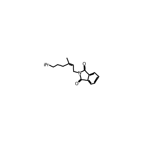 CC(=CCN1C(=O)c2ccccc2C1=O)CCCC(C)C